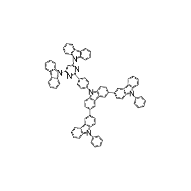 c1ccc(-n2c3ccccc3c3cc(-c4ccc5c(c4)c4cc(-c6ccc7c(c6)c6ccccc6n7-c6ccccc6)ccc4n5-c4ccc(-c5nc(-n6c7ccccc7c7ccccc76)cc(-n6c7ccccc7c7ccccc76)n5)cc4)ccc32)cc1